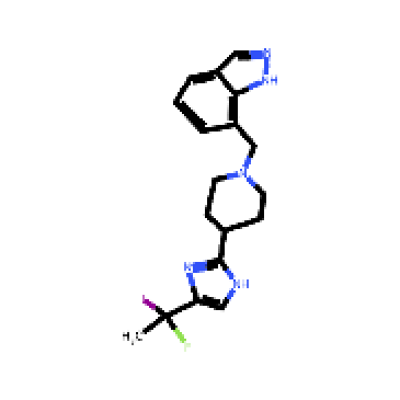 CC(F)(I)c1c[nH]c(C2CCN(Cc3cccc4cn[nH]c34)CC2)n1